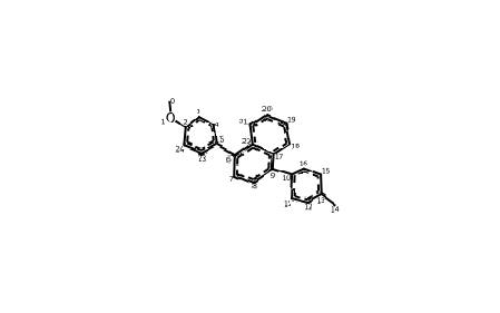 COc1ccc(-c2ccc(-c3ccc(C)cc3)c3ccccc23)cc1